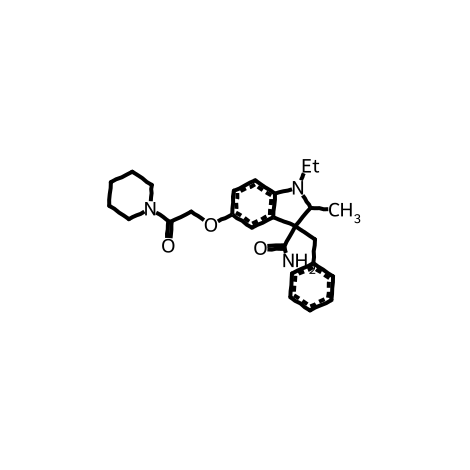 CCN1c2ccc(OCC(=O)N3CCCCC3)cc2C(Cc2ccccc2)(C(N)=O)C1C